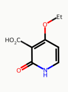 CCOc1cc[nH]c(=O)c1C(=O)O